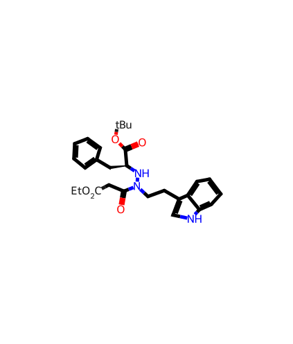 CCOC(=O)CC(=O)N(CCc1c[nH]c2ccccc12)N[C@@H](Cc1ccccc1)C(=O)OC(C)(C)C